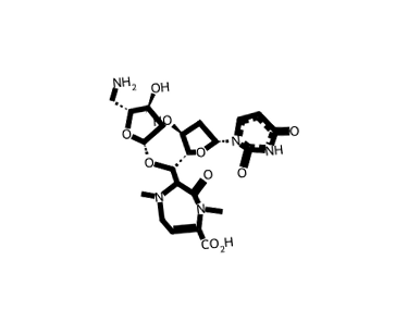 CN1C(=O)C(C(O[C@H]2C[C@H](O)[C@@H](CN)O2)[C@H]2O[C@@H](n3ccc(=O)[nH]c3=O)C[C@@H]2O)N(C)CC=C1C(=O)O